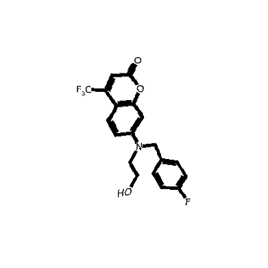 O=c1cc(C(F)(F)F)c2ccc(N(CCO)Cc3ccc(F)cc3)cc2o1